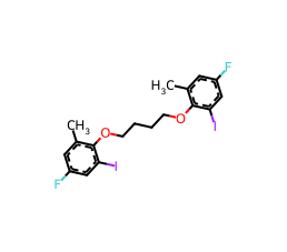 Cc1cc(F)cc(I)c1OCCCCOc1c(C)cc(F)cc1I